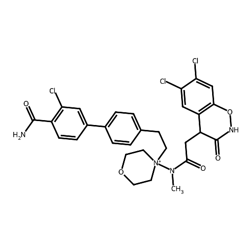 CN(C(=O)CC1C(=O)NOc2cc(Cl)c(Cl)cc21)[N+]1(CCc2ccc(-c3ccc(C(N)=O)c(Cl)c3)cc2)CCOCC1